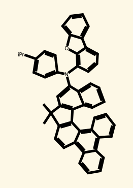 CC(C)c1ccc(N(c2cc3c(c4ccccc24)-c2c(ccc4c5ccccc5c5ccccc5c24)C3(C)C)c2cccc3c2oc2ccccc23)cc1